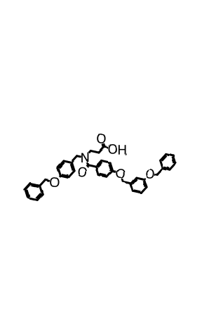 O=C(O)CCN(Cc1ccc(OCc2ccccc2)cc1)C(=O)c1ccc(OCc2cccc(OCc3ccccc3)c2)cc1